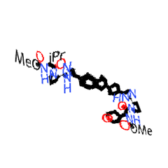 COC(=O)N[C@H](C(=O)N1CCC[C@H]1c1ncc(-c2ccc3cc(-c4ccc(-c5cnc([C@@H]6CCCN6C(=O)[C@H](NC(=O)OC)C6CCOCC6)[nH]5)cc4)ccc3c2)[nH]1)C(C)C